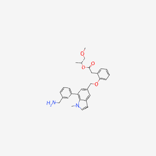 COCC(C)OC(=O)Cc1ccccc1OCc1cc(-c2cccc(CN)c2)c2c(ccn2C)c1